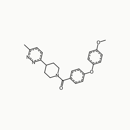 COc1ccc(Oc2ccc(C(=O)N3CCC(c4ccc(C)nn4)CC3)cc2)cc1